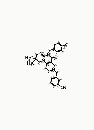 CC1(C)CN=C2N(Cc3ccc(Cl)cc3)C(=O)C3=C(CCN(Cc4cccc(C#N)c4)C3)N2C1